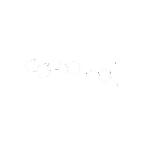 COc1ccc(N=C(C)N2CCc3nc(C(=O)Nc4ccccc4N)sc3C2)cc1OC